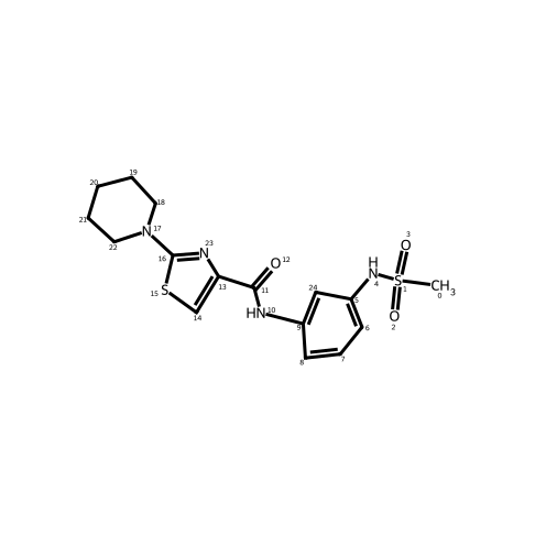 CS(=O)(=O)Nc1cccc(NC(=O)c2csc(N3CCCCC3)n2)c1